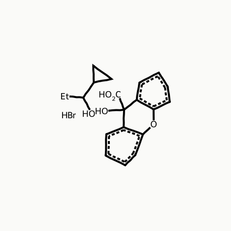 Br.CCC(O)C1CC1.O=C(O)C1(O)c2ccccc2Oc2ccccc21